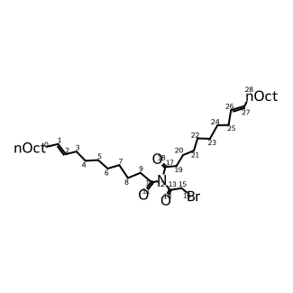 CCCCCCCCC=CCCCCCCCC(=O)N(C(=O)CBr)C(=O)CCCCCCCC=CCCCCCCCC